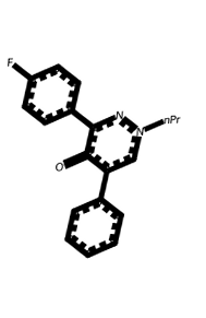 CCCn1cc(-c2ccccc2)c(=O)c(-c2ccc(F)cc2)n1